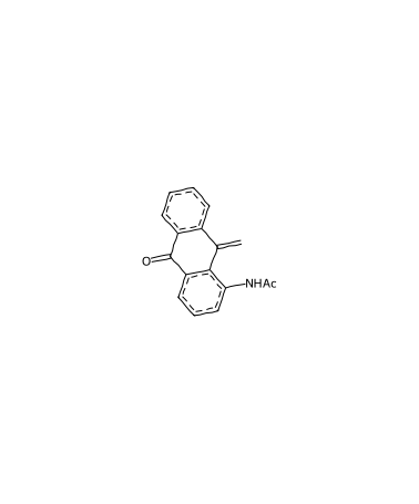 C=C1c2ccccc2C(=O)c2cccc(NC(C)=O)c21